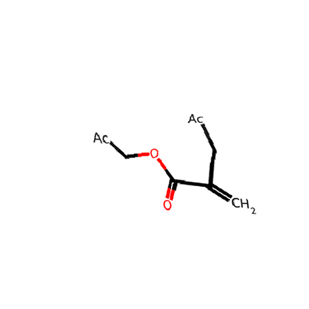 C=C(CC(C)=O)C(=O)OCC(C)=O